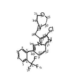 FC(F)(F)c1ccccc1-c1ccc2nc(Cl)c(CN3CCOCC3)n2c1